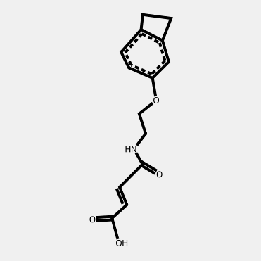 O=C(O)C=CC(=O)NCCOc1ccc2c(c1)CC2